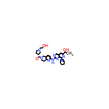 CC(O)c1cc2cnc(Nc3ccc4c(n3)CCN(C(=O)[C@@H]3CCN(CCO)C3)C4)nc2c(N2C3CCC2CC3)n1